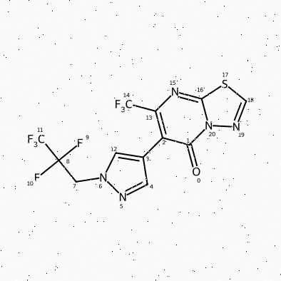 O=c1c(-c2cnn(CC(F)(F)C(F)(F)F)c2)c(C(F)(F)F)nc2scnn12